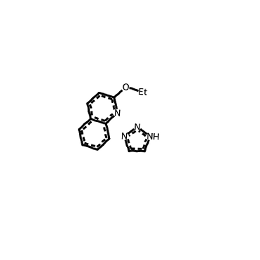 CCOc1ccc2ccccc2n1.c1c[nH]nn1